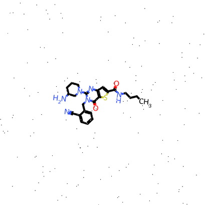 CCCCNC(=O)c1cc2nc(N3CCCC(N)C3)n(Cc3ccccc3C#N)c(=O)c2s1